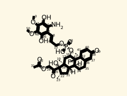 COc1c(O)c(N)c(/C=C/COP(=O)(O)O[C@H]2C[C@@]3(C)[C@@H](C[C@H](C)[C@@]3(O)C(=O)COC(C)=O)[C@@H]3CCC4=CC(=O)C=C[C@]4(C)[C@@]23F)c(O)c1OC